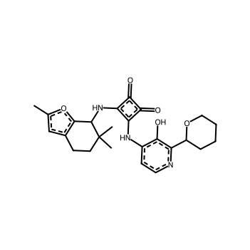 Cc1cc2c(o1)C(Nc1c(Nc3ccnc(C4CCCCO4)c3O)c(=O)c1=O)C(C)(C)CC2